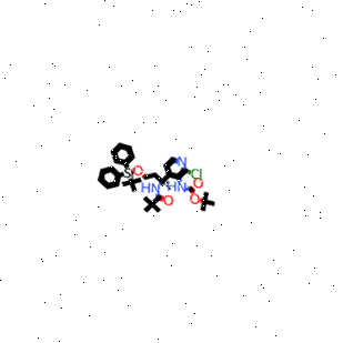 CC(C)(C)OC(=O)Nc1c([C@](C)(CCO[Si](c2ccccc2)(c2ccccc2)C(C)(C)C)NC(=O)C(C)(C)C)ccnc1Cl